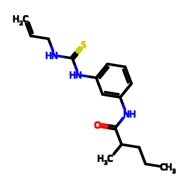 C=CCNC(=S)Nc1cccc(NC(=O)C(C)CCC)c1